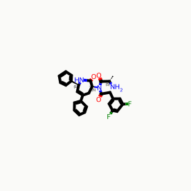 C[C@H](N)C(=O)N(C(=O)Cc1cc(F)cc(F)c1)[C@H]1CC(c2ccccc2)=C[C@@H](c2ccccc2)NC1=O